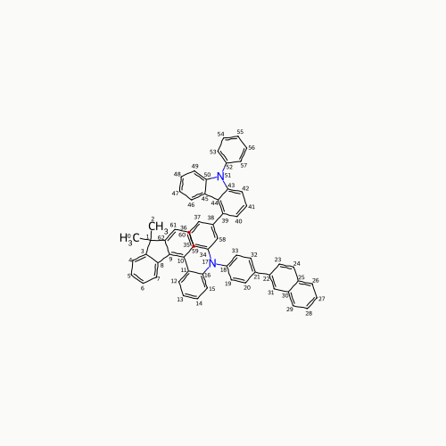 CC1(C)c2ccccc2-c2c(-c3ccccc3N(c3ccc(-c4ccc5ccccc5c4)cc3)c3cccc(-c4cccc5c4c4ccccc4n5-c4ccccc4)c3)cccc21